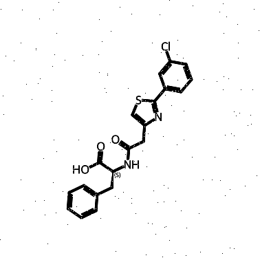 O=C(Cc1csc(-c2cccc(Cl)c2)n1)N[C@@H](Cc1ccccc1)C(=O)O